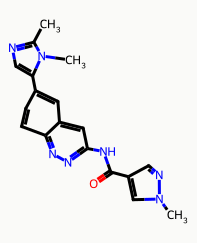 Cc1ncc(-c2ccc3nnc(NC(=O)c4cnn(C)c4)cc3c2)n1C